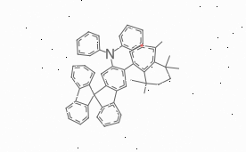 Cc1ccc(-c2cc3c(cc2N(c2ccccc2)c2ccccc2)C2(c4ccccc4-c4ccccc42)c2ccccc2-3)c2c1C(C)(C)CCC2(C)C